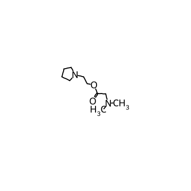 CN(C)CC(=O)OCCN1CCCC1